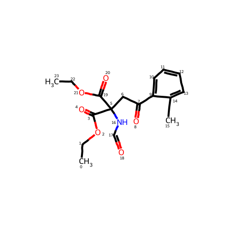 CCOC(=O)C(CC(=O)c1ccccc1C)(NC=O)C(=O)OCC